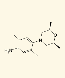 CC/C=C(\C(C)=C/CN)N1C[C@@H](C)O[C@@H](C)C1